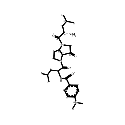 CC(C)C[C@H](NC(=O)c1ccc(N(C)C)cc1)C(=O)N1CCC2C1C(=O)CN2C(=O)[C@@H](N)CC(C)C